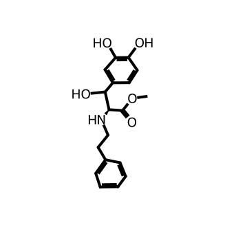 COC(=O)[C@@H](NCCc1ccccc1)C(O)c1ccc(O)c(O)c1